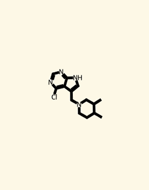 CC1CCN(Cc2c[nH]c3ncnc(Cl)c23)CC1C